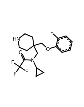 O=C(N(CC1(COc2ccccc2F)CCNCC1)C1CC1)C(F)(F)F